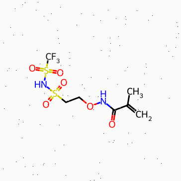 C=C(C)C(=O)NOCCS(=O)(=O)NS(=O)(=O)C(F)(F)F